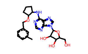 Cc1cccc(COC2CCCC2Nc2ncnc3c2ncn3C2OC(CO)C(O)C2O)c1